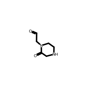 O=CCN1CCNCC1=O